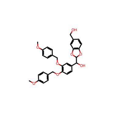 COc1ccc(COc2ccc(C(O)C3Oc4ccc(CO)cc4O3)cc2OCc2ccc(OC)cc2)cc1